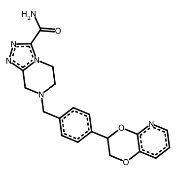 NC(=O)c1nnc2n1CCN(Cc1ccc(C3COc4cccnc4O3)cc1)C2